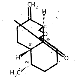 C=C1CC[C@H]2[C@@H](C)CCC[C@@]23C(=O)OC[C@@H]13